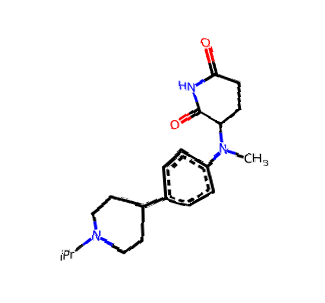 CC(C)N1CCC(c2ccc(N(C)C3CCC(=O)NC3=O)cc2)CC1